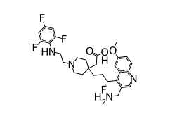 COc1ccc2ncc(CN)c([C@H](F)CCC3(CC(=O)O)CCN(CCNc4c(F)cc(F)cc4F)CC3)c2c1